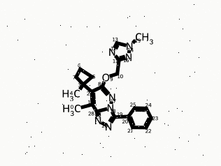 Cc1c(C2(C)CCC2)c(OCc2ncn(C)n2)nn2c(-c3ccccc3)nnc12